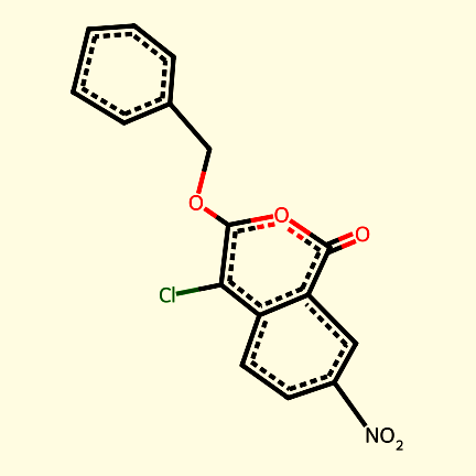 O=c1oc(OCc2ccccc2)c(Cl)c2ccc([N+](=O)[O-])cc12